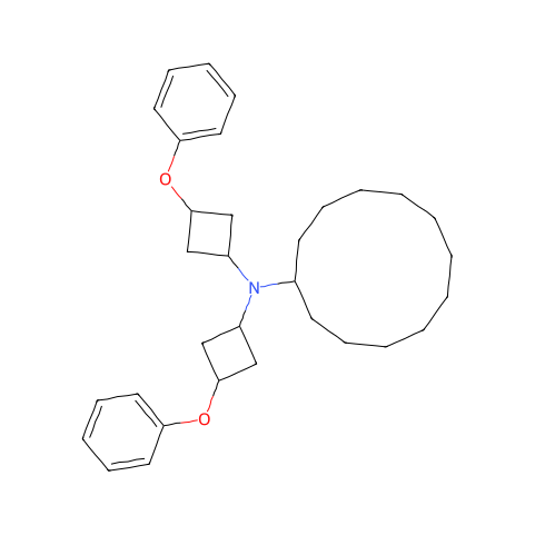 c1ccc(OC2CC(N(C3CCCCCCCCCCC3)C3CC(Oc4ccccc4)C3)C2)cc1